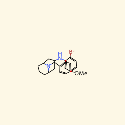 COc1ccc(CN2C3CCCC2CC(Nc2ccccc2Br)C3)cc1